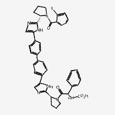 O=C(O)N[C@@H](C(=O)N1CCC[C@H]1c1ncc(-c2ccc(-c3ccc(-c4cnc([C@@H]5CCCN5C(=O)c5ccccc5F)[nH]4)cc3)cc2)[nH]1)c1ccccc1